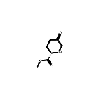 COC(=O)[C@@H]1CCC(=O)CN1